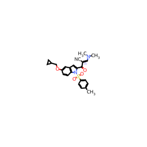 Cc1ccc(S(=O)(=O)n2c(C(=O)/C(C#N)=C/N(C)C)cc3cc(OCC4CC4)ccc32)cc1